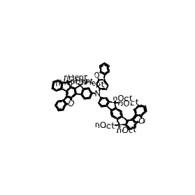 CCCCCCCCC1(CCCCCCCC)c2cc(N(C3=CC=C4c5ccccc5OC4C3)c3ccc4c(c3)C(CCCCCCC)(CCCCCCC)c3c5c(c6c(oc7ccccc76)c3-4)-c3ccccc3C5(CCCCCCC)CCCCCCC)ccc2-c2cc3c(cc21)-c1c(ccc2oc4ccccc4c12)C3(CCCCCCCC)CCCCCCCC